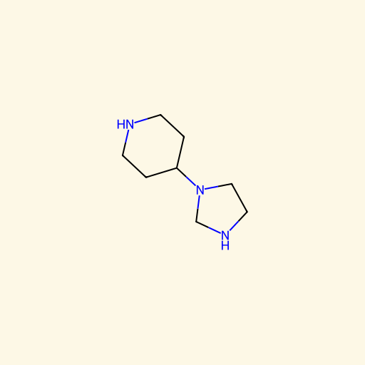 C1CC(N2CCNC2)CCN1